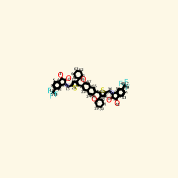 O=C1C(=O)c2ccc(C(F)(F)F)cc2/C1=C/c1cc2c(s1)C1=CC3C=C4OC5(CCCCC5)c5cc(/C=C6\C(=O)C(=O)c7ccc(C(F)(F)F)cc76)sc5C4=CC3C=C1OC21CCCCC1